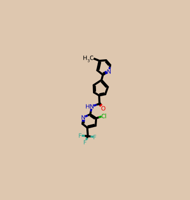 Cc1ccnc(-c2ccc(C(=O)Nc3ncc(C(F)(F)F)cc3Cl)cc2)c1